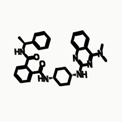 C[C@H](NC(=O)c1ccccc1C(=O)N[C@H]1CC[C@@H](Nc2nc(N(C)C)c3ccccc3n2)CC1)c1ccccc1